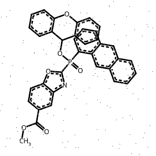 COC(=O)c1ccc2oc(P(=O)(OC3c4ccccc4Oc4ccccc43)c3cccc4cc5ccccc5cc34)nc2c1